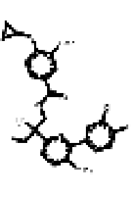 COc1cc(C(=O)NCC(N)(CF)c2ccc(OC)c(-c3ccc(F)c(Cl)c3)n2)ccc1OC1CC1